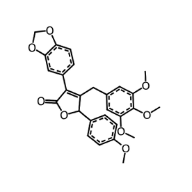 COc1ccc(C2OC(=O)C(c3ccc4c(c3)OCO4)=C2Cc2cc(OC)c(OC)c(OC)c2)cc1